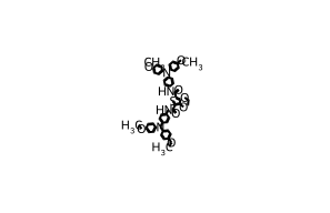 COc1ccc(N(c2ccc(NC(=O)c3sc(C(=O)Nc4ccc(N(c5ccc(OC)cc5)c5ccc(OC)cc5)cc4)c4c3OCCO4)cc2)c2ccc(OC)cc2)cc1